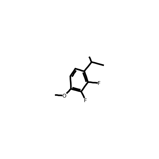 COc1ccc(C(C)C)c(F)c1F